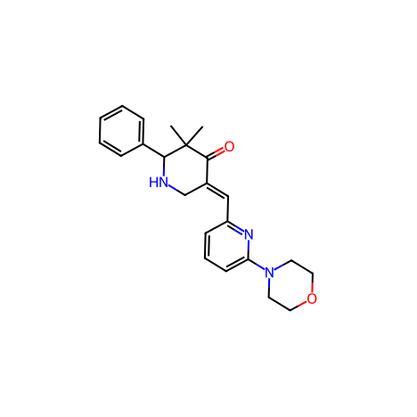 CC1(C)C(=O)C(=Cc2cccc(N3CCOCC3)n2)CNC1c1ccccc1